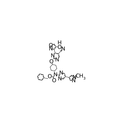 Cn1cc(-c2cnc(N(C(=O)OCc3ccccc3)[C@H]3CC[C@H](Oc4ncc(C#N)c(-c5nocc5O)n4)CC3)nc2)cn1